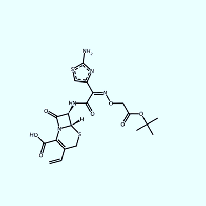 C=CC1=C(C(=O)O)N2C(=O)[C@@H](NC(=O)/C(=N\OCC(=O)OC(C)(C)C)c3csc(N)n3)[C@@H]2SC1